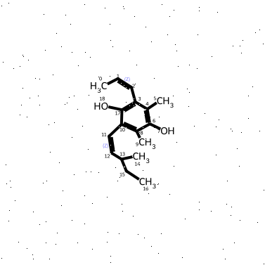 C/C=C\c1c(C)c(O)c(C)c(/C=C\C(C)CC)c1O